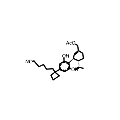 C=C(C)[C@H]1CCC(COC(C)=O)=C[C@@H]1c1c(O)cc(C2(CCCCCC#N)CCC2)cc1O